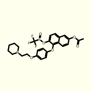 CC(=O)Oc1ccc2c(Oc3ccc(OCCN4CCCCC4)cc3)c(OS(=O)C(F)(F)F)ccc2c1